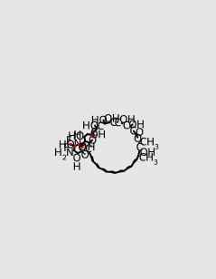 C[C@H]1C[C@H](O)[C@@H](C)/C=C/C=C/C=C/C=C/C=C/C=C/C=C/C(O[C@@H]2OC[C@@H](O)[C@H](N)[C@H]2O)C[C@@H]2OC(O)(CC(O)CC(O)C(O)CCC(O)CC(O)CC(=O)O1)C[C@H](O)C2C(=O)NCC(F)F